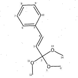 COC(/C=C/c1ccccc1)(OC)OC